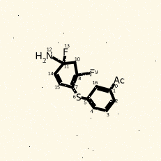 CC(=O)c1cccc(SC2=C(F)CC(N)(F)C=C2)c1